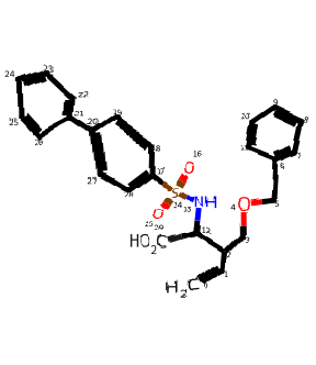 C=CC(COCc1ccccc1)C(NS(=O)(=O)c1ccc(-c2ccccc2)cc1)C(=O)O